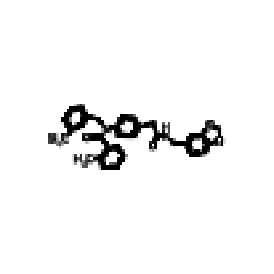 Cc1cccc(CN(C(=O)c2ccccc2C)c2ccc(CC(=O)NCc3ccc4c(c3)OCO4)cc2)c1